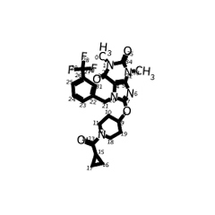 Cn1c(=O)c2c(nc(OC3CCN(C(=O)C4CC4)CC3)n2Cc2cccc(C(F)(F)F)c2)n(C)c1=O